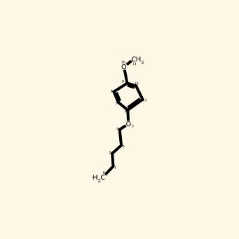 [CH2]CCCCOc1ccc(OC)cc1